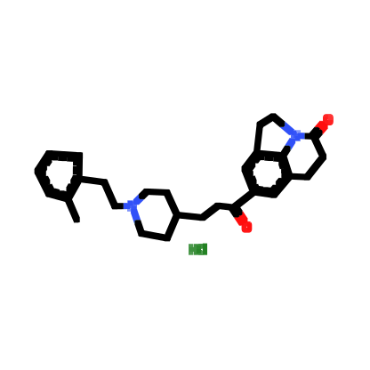 Cc1ccccc1CCN1CCC(CCC(=O)c2cc3c4c(c2)CCN4C(=O)CC3)CC1.Cl